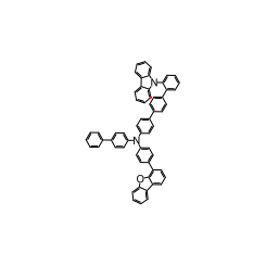 c1ccc(-c2ccc(N(c3ccc(-c4ccc(-c5ccccc5-n5c6ccccc6c6ccccc65)cc4)cc3)c3ccc(-c4cccc5c4oc4ccccc45)cc3)cc2)cc1